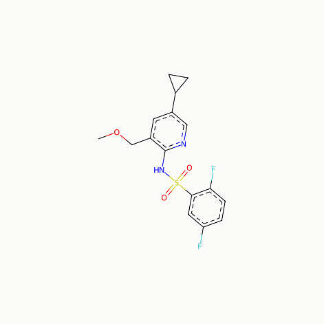 COCc1cc(C2CC2)cnc1NS(=O)(=O)c1cc(F)ccc1F